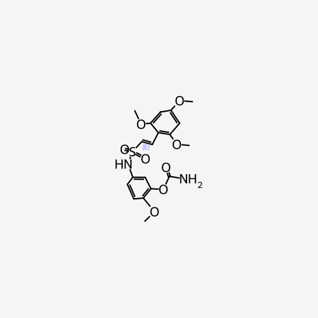 COc1cc(OC)c(/C=C/S(=O)(=O)Nc2ccc(OC)c(OC(N)=O)c2)c(OC)c1